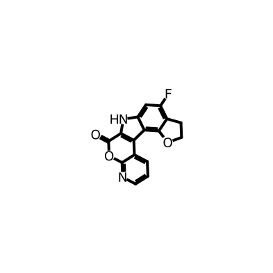 O=c1oc2ncccc2c2c1[nH]c1cc(F)c3c(c12)OCC3